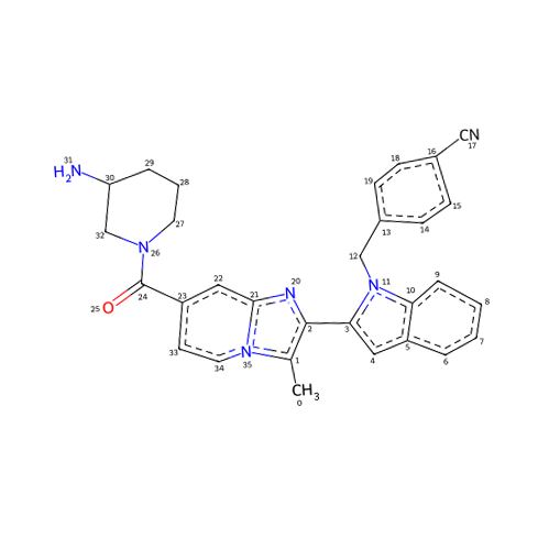 Cc1c(-c2cc3ccccc3n2Cc2ccc(C#N)cc2)nc2cc(C(=O)N3CCCC(N)C3)ccn12